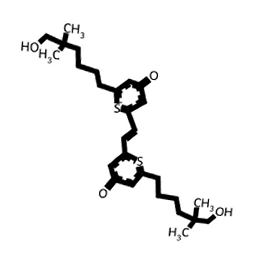 CC(C)(CO)CCCCc1cc(=O)cc(C=Cc2cc(=O)cc(CCCCC(C)(C)CO)s2)s1